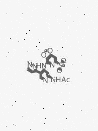 CC(=O)Nc1cc(Nc2nc(S(C)(=O)=O)cc3c2OCO3)c(-c2ccn(C)n2)cn1